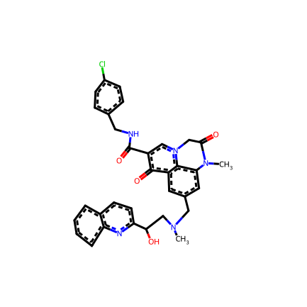 CN(Cc1cc2c3c(c1)c(=O)c(C(=O)NCc1ccc(Cl)cc1)cn3CC(=O)N2C)CC(O)c1ccc2ccccc2n1